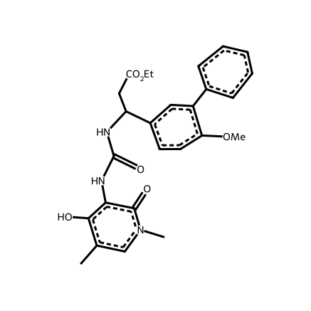 CCOC(=O)CC(NC(=O)Nc1c(O)c(C)cn(C)c1=O)c1ccc(OC)c(-c2ccccc2)c1